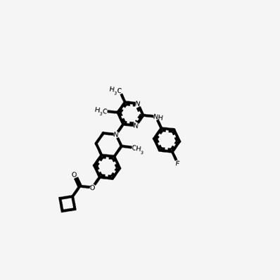 Cc1nc(Nc2ccc(F)cc2)nc(N2CCc3cc(OC(=O)C4CCC4)ccc3C2C)c1C